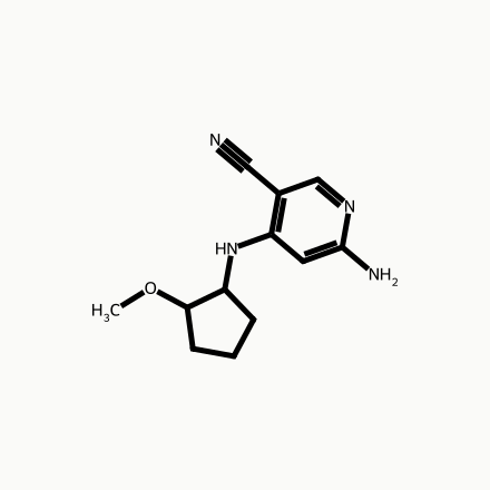 COC1CCCC1Nc1cc(N)ncc1C#N